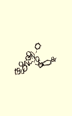 CC(C)(C)OC(=O)N1CC[C@H]([C@H](Cc2cc3ccc(Br)cc3s2)C(=O)N2C(=O)OC[C@@H]2Cc2ccccc2)C1